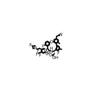 Cc1cc2cc(c1F)[C@H](CC(=O)O)NC(=O)[C@@H](n1cc(CCN3CC(F)C3)c(C(F)(F)F)cc1=O)c1cc(ccc1F)Oc1cc(CC#N)cc(C)c1-2